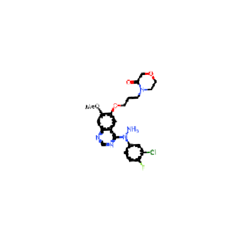 COc1cc2ncnc(N(N)c3ccc(F)c(Cl)c3)c2cc1OCCCN1CCOCC1=O